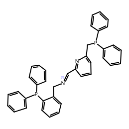 C(=N\Cc1ccccc1P(c1ccccc1)c1ccccc1)/c1cccc(CP(c2ccccc2)c2ccccc2)n1